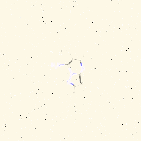 CCCCCCc1c(CC)nc2cc(C)nn2c1N